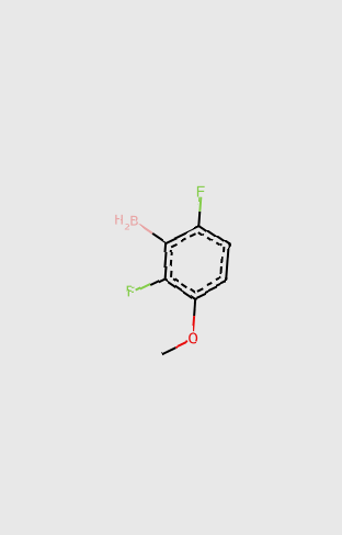 Bc1c(F)ccc(OC)c1F